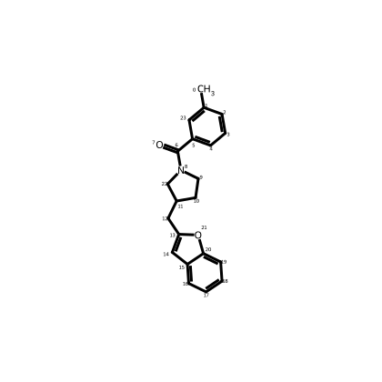 Cc1cccc(C(=O)N2CCC(Cc3cc4ccccc4o3)C2)c1